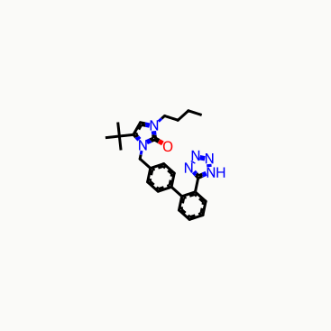 CCCCn1cc(C(C)(C)C)n(Cc2ccc(-c3ccccc3-c3nnn[nH]3)cc2)c1=O